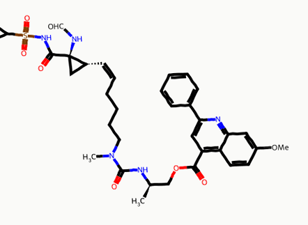 COc1ccc2c(C(=O)OC[C@@H](C)NC(=O)N(C)CCCC/C=C\[C@@H]3C[C@]3(NC=O)C(=O)NS(=O)(=O)C3CC3)cc(-c3ccccc3)nc2c1